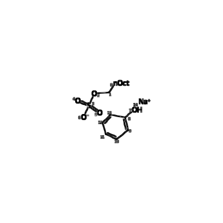 CCCCCCCCCOS(=O)(=O)[O-].Oc1ccccc1.[Na+]